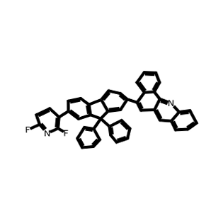 Fc1ccc(-c2ccc3c(c2)C(c2ccccc2)(c2ccccc2)c2cc(-c4cc5cc6ccccc6nc5c5ccccc45)ccc2-3)c(F)n1